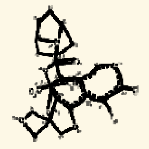 CC(C)(C)OC(=O)N1C2CCC1CN(c1nc3c(c4c(F)c(Cl)ncc14)OCC31COC1)C2